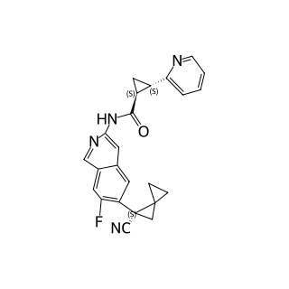 N#C[C@@]1(c2cc3cc(NC(=O)[C@H]4C[C@@H]4c4ccccn4)ncc3cc2F)CC12CC2